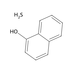 Oc1cccc2ccccc12.S